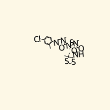 Cc1cc(Cl)ccc1N=CN(C)C(=O)N(C)SN(C)C(=O)ONC1SCSC1(C)C